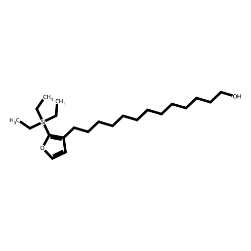 CC[Si](CC)(CC)c1occc1CCCCCCCCCCCCCO